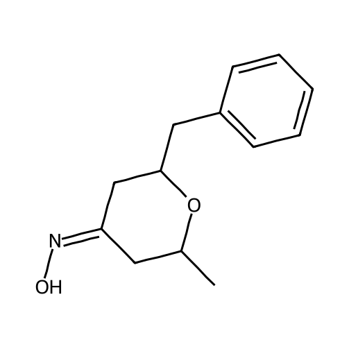 CC1C/C(=N\O)CC(Cc2ccccc2)O1